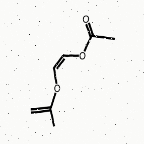 C=C(C)O/C=C\OC(C)=O